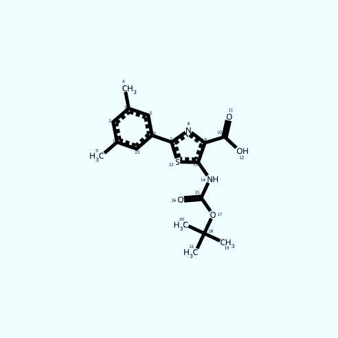 Cc1cc(C)cc(-c2nc(C(=O)O)c(NC(=O)OC(C)(C)C)s2)c1